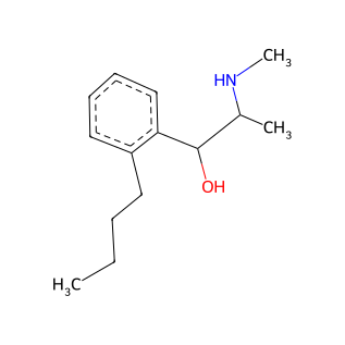 CCCCc1ccccc1C(O)C(C)NC